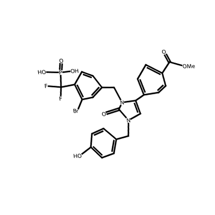 COC(=O)c1ccc(-c2cn(Cc3ccc(O)cc3)c(=O)n2Cc2ccc(C(F)(F)P(=O)(O)O)c(Br)c2)cc1